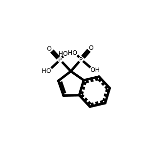 O=P(O)(O)C1(P(=O)(O)O)C=Cc2ccccc21